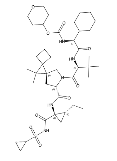 CC[C@@H]1C[C@]1(NC(=O)[C@@H]1C[C@@]2(CN1C(=O)[C@@H](NC(=O)[C@@H](NC(=O)OC1CCOCC1)C1CCCCC1)C(C)(C)C)C(C)(C)C21CCC1)C(=O)NS(=O)(=O)C1CC1